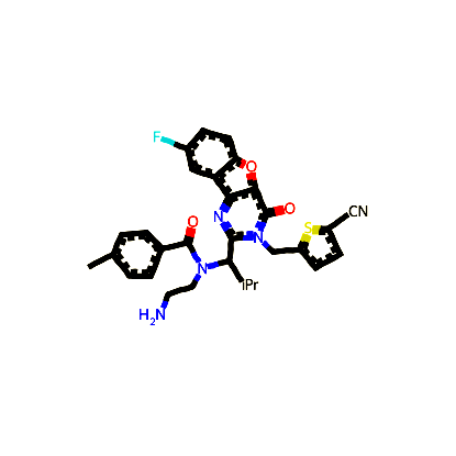 Cc1ccc(C(=O)N(CCN)C(c2nc3c(oc4ccc(F)cc43)c(=O)n2Cc2ccc(C#N)s2)C(C)C)cc1